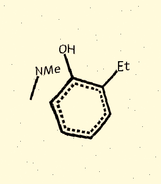 CCc1ccccc1O.CNC